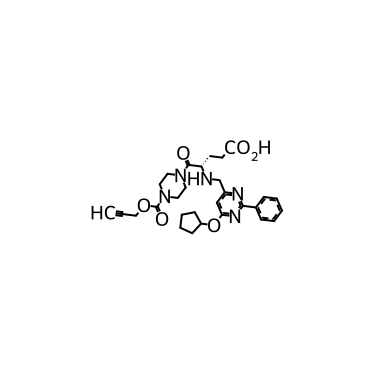 C#CCOC(=O)N1CCN(C(=O)[C@H](CCC(=O)O)NCc2cc(OC3CCCC3)nc(-c3ccccc3)n2)CC1